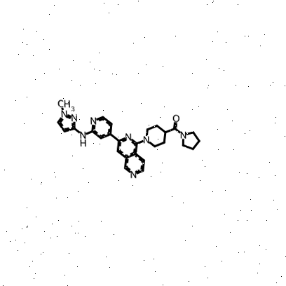 Cn1ccc(Nc2cc(-c3cc4cnccc4c(N4CCC(C(=O)N5CCCC5)CC4)n3)ccn2)n1